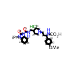 COc1ccc(C(CCN2CCC(CNC(=O)n3c(=O)n(C(C)C)c4ccccc43)CC2)NC(=O)O)cc1.Cl